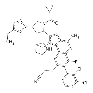 CCc1cnn(C2CC(c3cc4c(C)nc5c(F)c(-c6cccc(Cl)c6Cl)c(CCC#N)cc5c4n3C3C4CNC3C4)N(C(=O)C3CC3)C2)c1